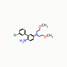 COCCN(CCOC)c1ccc(N)c(-c2cccc(Br)c2)c1